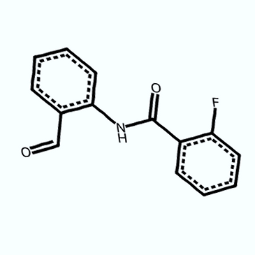 O=Cc1ccccc1NC(=O)c1ccccc1F